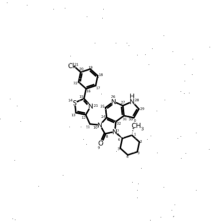 C[C@@H]1CCCC[C@H]1n1c(=O)n(Cc2csc(-c3cccc(Cl)c3)n2)c2cnc3[nH]ccc3c21